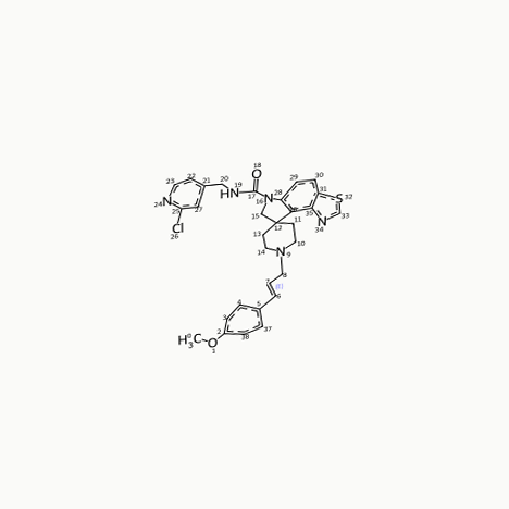 COc1ccc(/C=C/CN2CCC3(CC2)CN(C(=O)NCc2ccnc(Cl)c2)c2ccc4scnc4c23)cc1